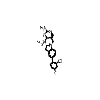 Nc1ncc(CN2CCc3cc(-c4ccc(Cl)cc4Cl)ccc32)c(N)n1